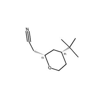 CC(C)(C)[C@@H]1CCO[C@H](CC#N)C1